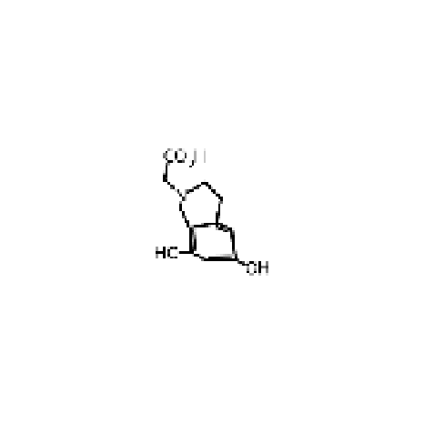 O=C(O)CN1CCc2cc(O)cc(O)c2C1